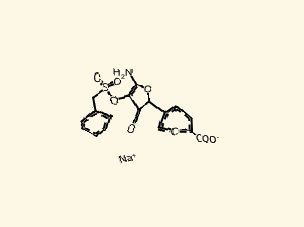 NC1=C(OS(=O)(=O)Cc2ccccc2)C(=O)C(c2ccc(C(=O)[O-])cc2)O1.[Na+]